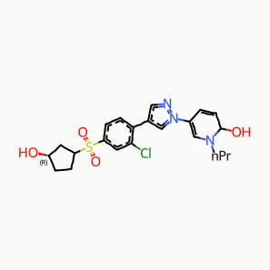 CCCN1C=C(n2cc(-c3ccc(S(=O)(=O)C4CC[C@@H](O)C4)cc3Cl)cn2)C=CC1O